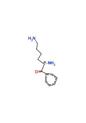 NCCCC[C@H](N)C(=O)c1ccccc1